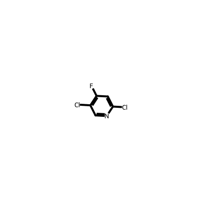 Fc1cc(Cl)ncc1Cl